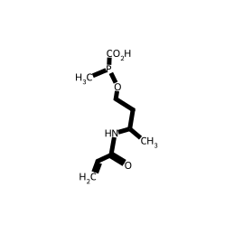 C=CC(=O)NC(C)CCOP(C)C(=O)O